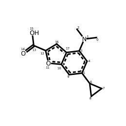 CN(C)c1cc(C2CC2)cc2oc(C(=O)O)cc12